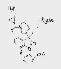 COCCCCC(O)(c1cccc(F)c1Oc1ccccc1C)C1CCCN(C(=O)C2CC2CN)C1